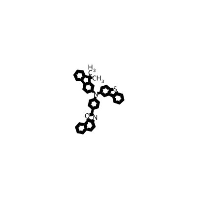 CC1(C)c2ccccc2-c2ccc(N(c3ccc(-c4nc5ccc6ccccc6c5o4)cc3)c3ccc4sc5ccccc5c4c3)cc21